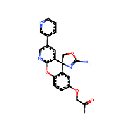 CC(=O)COc1ccc2c(c1)[C@]1(COC(N)=N1)c1cc(-c3cccnc3)cnc1O2